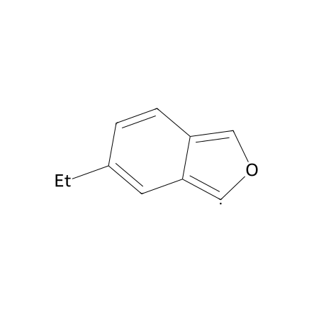 CCc1ccc2co[c]c2c1